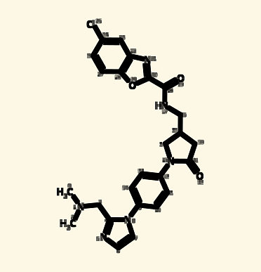 CN(C)Cc1nccn1-c1ccc(N2CC(CNC(=O)c3nc4cc(Cl)ccc4o3)CC2=O)cc1